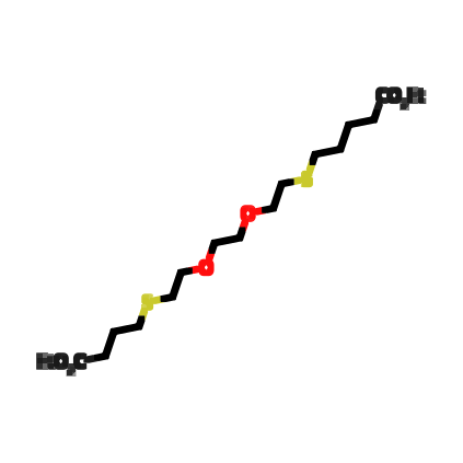 CCOC(=O)CCCCSCCOCCOCCSCCCC(=O)OCC